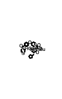 CN1CCN(C(=O)c2ccc(OC3CCN(C(=O)[C@@H](NC(=O)[C@H](CC4CCCC4)CN(O)C=O)C(C)(C)C)CC3)cc2)CC1